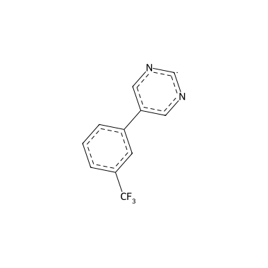 FC(F)(F)c1cccc(-c2cn[c]nc2)c1